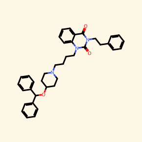 O=c1c2ccccc2n(CCCCN2CCC(OC(c3ccccc3)c3ccccc3)CC2)c(=O)n1CCc1ccccc1